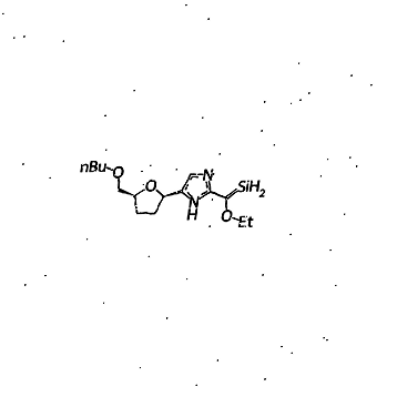 CCCCOC[C@@H]1CC[C@H](c2cnc(C(=[SiH2])OCC)[nH]2)O1